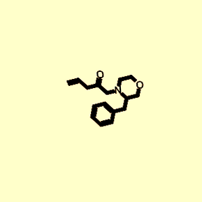 C=CCC(=O)CN1CCOCC1Cc1ccccc1